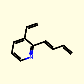 C=CC=Cc1ncccc1C=C